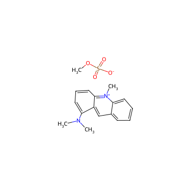 CN(C)c1cccc2c1cc1ccccc1[n+]2C.COS(=O)(=O)[O-]